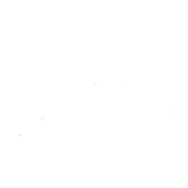 CN1CCN(C(=O)Oc2cc3c(c4ccccc24)[C@H](CCl)CN3C(=O)c2cc3c4c(ccc3[nH]2)NCC4)CC1